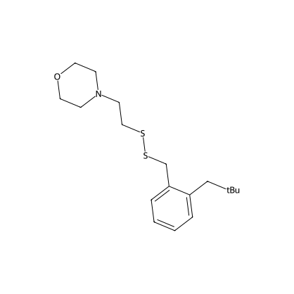 CC(C)(C)Cc1ccccc1CSSCCN1CCOCC1